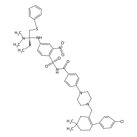 CC[C@@](CSc1ccccc1)(Nc1ccc(S(=O)(=O)NC(=O)c2ccc(N3CCN(CC4=C(c5ccc(Cl)cc5)CCC(C)(C)C4)CC3)cc2)c([N+](=O)[O-])c1)N(C)C